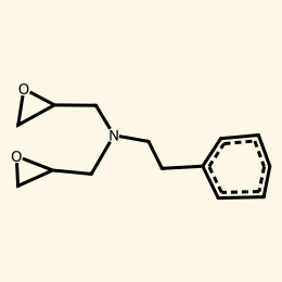 c1ccc(CCN(CC2CO2)CC2CO2)cc1